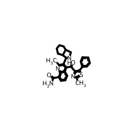 Cc1nc(C(=O)c2c(C3NCC4CCCCC43)c(C)nc3c(C(N)=O)cccc23)c(-c2ccccc2)s1